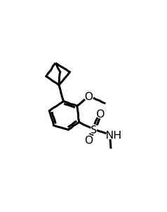 CNS(=O)(=O)c1cccc(C23CC(C2)C3)c1OC